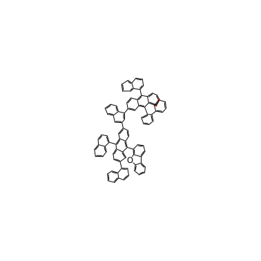 c1ccc(-c2ccccc2-c2c3ccccc3c(-c3cccc4ccccc34)c3ccc(-c4cc(-c5ccc6c(-c7cccc8c7oc7ccccc78)c7cc(-c8cccc9ccccc89)ccc7c(-c7cccc8ccccc78)c6c5)cc5ccccc45)cc23)cc1